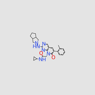 Cc1ccccc1-c1cc2cnc(NN3CC4CCCC4C3)nc2n(CC(=O)NC2CC2)c1=O